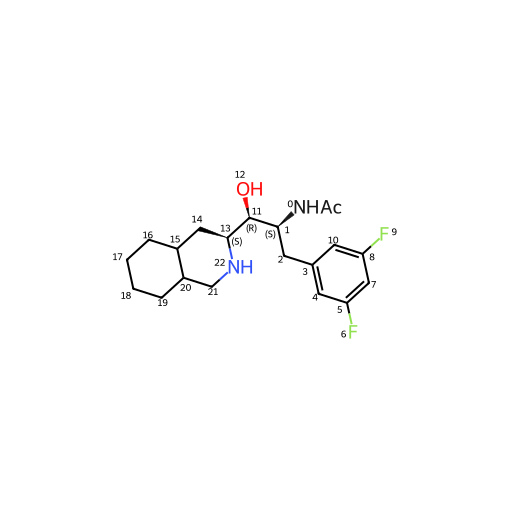 CC(=O)N[C@@H](Cc1cc(F)cc(F)c1)[C@H](O)[C@@H]1CC2CCCCC2CN1